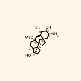 CO[C@@]12C=C3[C@H](Br)[C@H](O)[C@@H](N)C[C@]34CC[C@]1(C4)[C@@H]1CC[C@H](O)[C@@]1(C)CC2